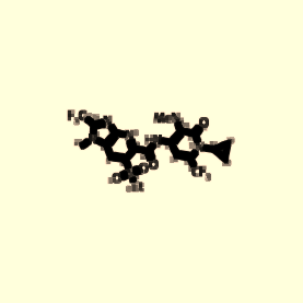 CCS(=O)(=O)c1cc2c(nc1C(=O)Nc1cc(C(F)(F)F)n(C3CC3)c(=O)c1NC)nc(C(F)(F)F)n2C